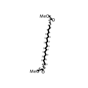 COSC(=O)SSCCCCCCCCCCCCCCCCCCSSC(=O)SOC